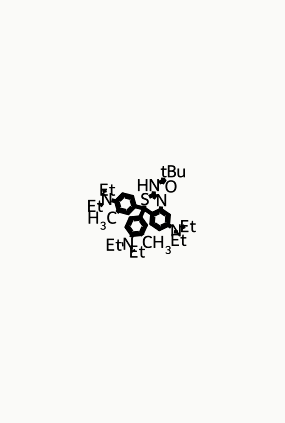 CCN(CC)c1ccc2c(c1)N=C(NC(=O)C(C)(C)C)SC2(c1ccc(N(CC)CC)c(C)c1)c1ccc(N(CC)CC)c(C)c1